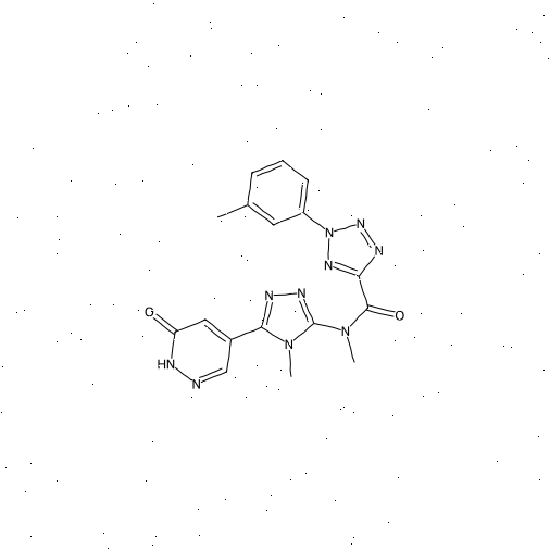 Cc1cccc(-n2nnc(C(=O)N(C)c3nnc(-c4cn[nH]c(=O)c4)n3C)n2)c1